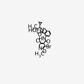 COc1ncc(Cl)c(C(=O)Nc2cccc3c2C(=O)N(C(C2CC2)C(C)(C)O)C3)c1Br